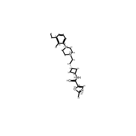 CCc1cccc(N2CCN(CC[C@H]3C[C@H](NC(=O)c4cnc(C)o4)C3)CC2)c1C